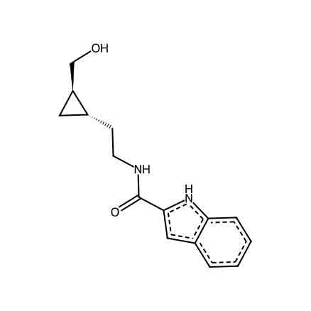 O=C(NCC[C@@H]1C[C@H]1CO)c1cc2ccccc2[nH]1